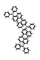 c1ccc(N(c2ccccc2)c2ccc3c4cccc5c(N(c6ccccc6)c6ccc7c8cccc9c(N(c%10ccccc%10)c%10ccccc%10)ccc(c%10cccc6c%107)c98)ccc(c6cccc2c36)c54)cc1